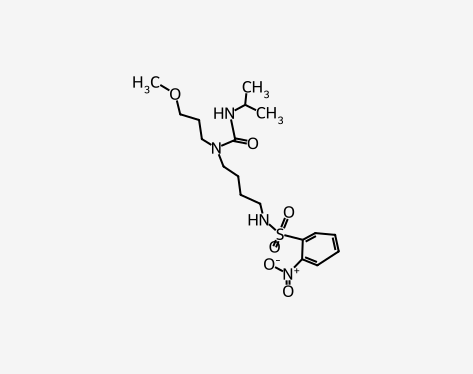 COCCCN(CCCCNS(=O)(=O)c1ccccc1[N+](=O)[O-])C(=O)NC(C)C